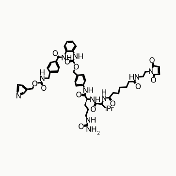 CC(C)C(NC(=O)CCCCCC(=O)NCCN1C(=O)C=CC1=O)C(=O)N[C@@H](CCCNC(N)=O)C(=O)Nc1ccc(COC(=O)Nc2ccccc2NC(=O)c2ccc(CNC(=O)OCc3cccnc3)cc2)cc1